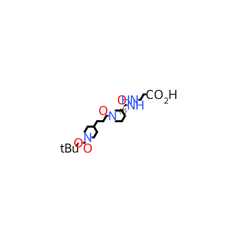 CC(C)(C)OC(=O)N1CCC(CCC(=O)N2CCC[C@@H](C(=O)NNCCC(=O)O)C2)CC1